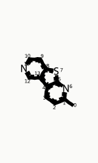 Cc1ccc2c(n1)sc1ccncc12